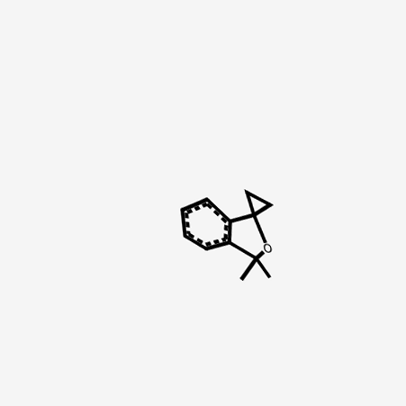 CC1(C)OC2(CC2)c2ccccc21